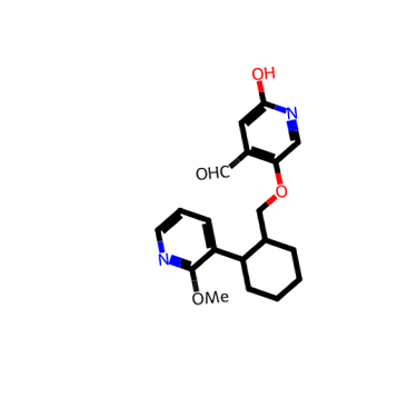 COc1ncccc1C1CCCCC1COc1cnc(O)cc1C=O